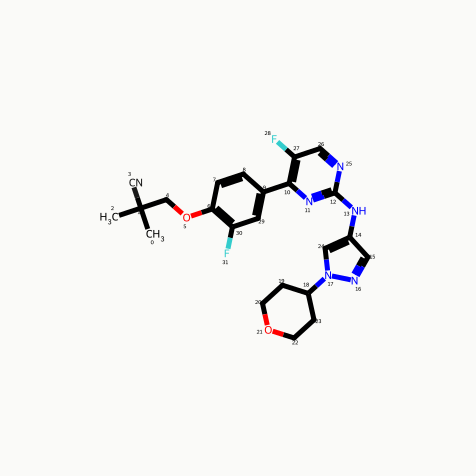 CC(C)(C#N)COc1ccc(-c2nc(Nc3cnn(C4CCOCC4)c3)ncc2F)cc1F